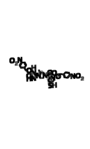 C[C@H]1CN(C(=O)[C@@H]2C[C@H](S)CN2C(=O)OCc2ccc([N+](=O)[O-])cc2)CCN1C(=N)NC(=O)OCc1ccc([N+](=O)[O-])cc1